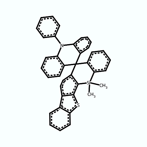 C[Si]1(C)c2ccccc2C2(c3ccccc3N(c3ccccc3)c3ccccc32)c2ccc3c(sc4ccccc43)c21